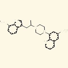 COc1cc(N2CCN(C(C)Cc3coc4c(OC)cccc34)CC2)c2ncccc2c1